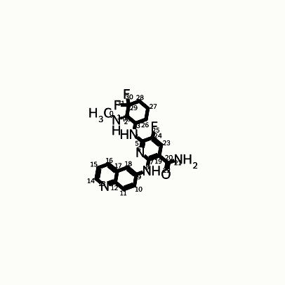 CN[C@@H]1C(Nc2nc(Nc3ccc4ncccc4c3)c(C(N)=O)cc2F)CCCC1(F)F